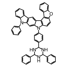 c1ccc(C2NC(c3ccccc3)NC(c3ccc(-n4c5cc6c(cc5c5c7c(ccc54)oc4ccccc47)c4ccccc4n6-c4ccccc4)cc3)N2)cc1